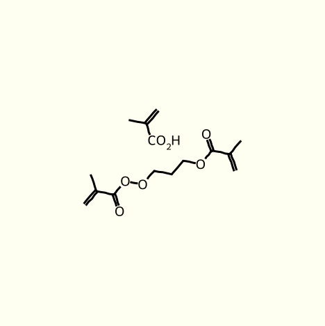 C=C(C)C(=O)O.C=C(C)C(=O)OCCCOOC(=O)C(=C)C